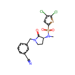 CN([C@H]1CCN(Cc2cccc(C#N)c2)C1=O)S(=O)(=O)c1cc(Cl)c(Cl)s1